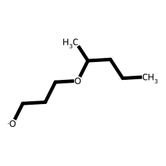 CCCC(C)OCCC[O]